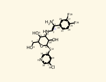 N/C(=C\NC1C(O)C(CO)OC(Sc2cncc(Cl)c2)C1O)c1ccc(F)c(F)c1